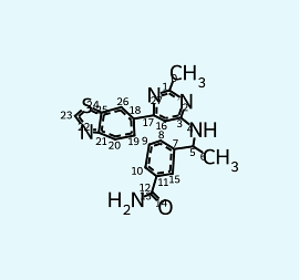 Cc1nc(NC(C)c2cccc(C(N)=O)c2)cc(-c2ccc3ncsc3c2)n1